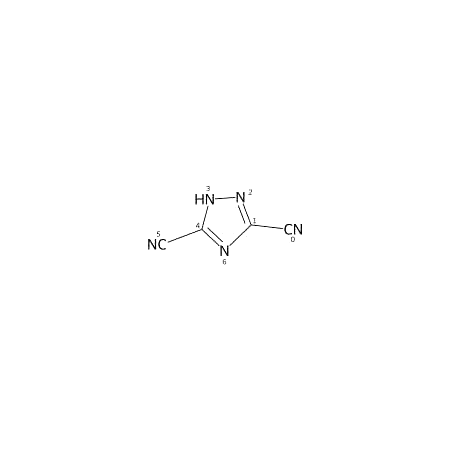 N#Cc1n[nH]c(C#N)n1